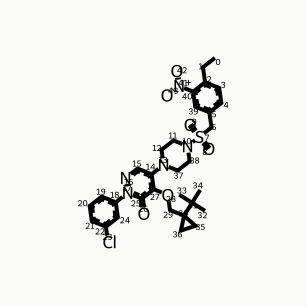 CCc1ccc(CS(=O)(=O)N2CCN(c3cnn(-c4cccc(Cl)c4)c(=O)c3OCC3(C(C)(C)C)CC3)CC2)cc1[N+](=O)[O-]